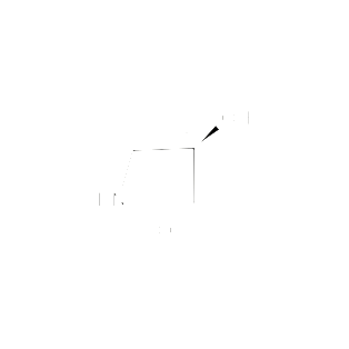 O[C@@H]1CNOC1